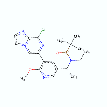 CCN([C@H](C)c1cnc(OC)c(-c2cn3ccnc3c(Cl)n2)c1)[S+]([O-])C(C)(C)C